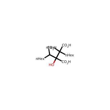 CCCCCCC(C(=O)O)C(O)(C(=O)O)C(CCCCCC)(CCCCCC)C(=O)O